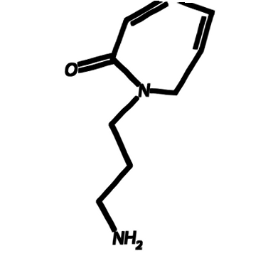 NCCCN1CC=CC=CC1=O